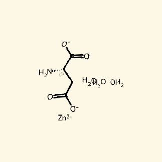 N[C@@H](CC(=O)[O-])C(=O)[O-].O.O.O.[Zn+2]